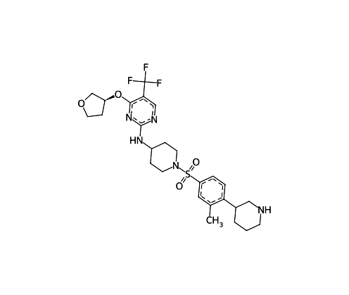 Cc1cc(S(=O)(=O)N2CCC(Nc3ncc(C(F)(F)F)c(O[C@H]4CCOC4)n3)CC2)ccc1C1CCCNC1